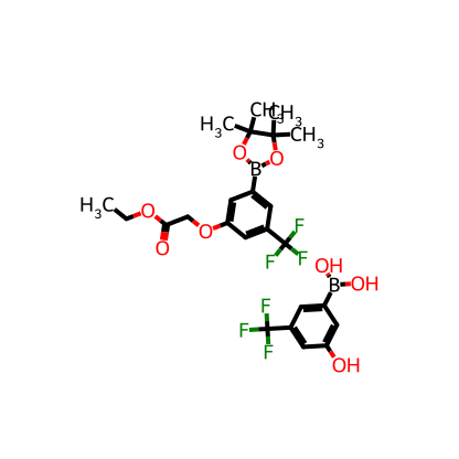 CCOC(=O)COc1cc(B2OC(C)(C)C(C)(C)O2)cc(C(F)(F)F)c1.OB(O)c1cc(O)cc(C(F)(F)F)c1